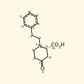 O=C1CCN(CCc2ccccc2)[C@H](C(=O)O)C1